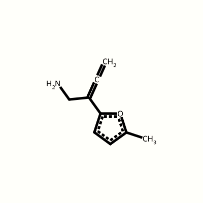 C=C=C(CN)c1ccc(C)o1